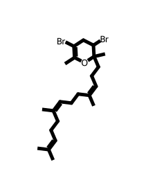 CC(C)=CCCC(C)=CCCC(C)=CCCC1(C)OC(C)=C(Br)CC1Br